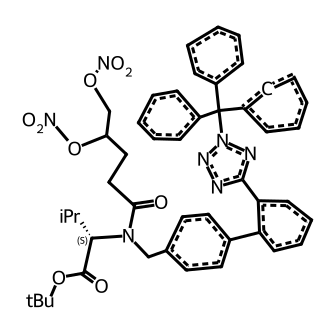 CC(C)[C@@H](C(=O)OC(C)(C)C)N(Cc1ccc(-c2ccccc2-c2nnn(C(c3ccccc3)(c3ccccc3)c3ccccc3)n2)cc1)C(=O)CCC(CO[N+](=O)[O-])O[N+](=O)[O-]